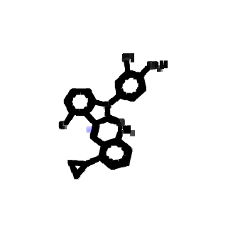 Cc1cccc(C2CC2)c1/C=C1\C(=O)N(c2ccc(C(=O)O)c(O)c2)c2cccc(Cl)c21